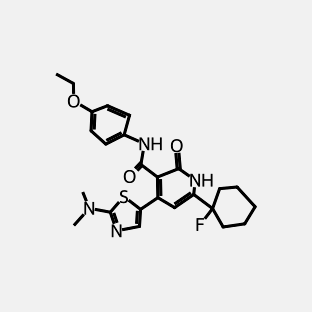 CCOc1ccc(NC(=O)c2c(-c3cnc(N(C)C)s3)cc(C3(F)CCCCC3)[nH]c2=O)cc1